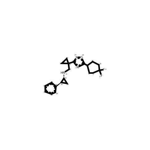 FC1(F)CCC(c2nc(C3(CN[C@@H]4C[C@H]4c4ccccc4)CC3)no2)CC1